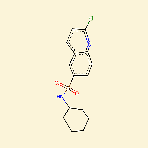 O=S(=O)(NC1CCCCC1)c1ccc2nc(Cl)ccc2c1